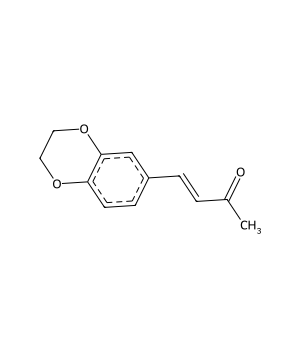 CC(=O)/C=C/c1ccc2c(c1)OCCO2